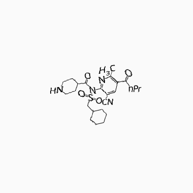 CCCC(=O)c1cc(C#N)c(N(C(=O)C2CCNCC2)S(=O)(=O)CC2CCCCC2)nc1C